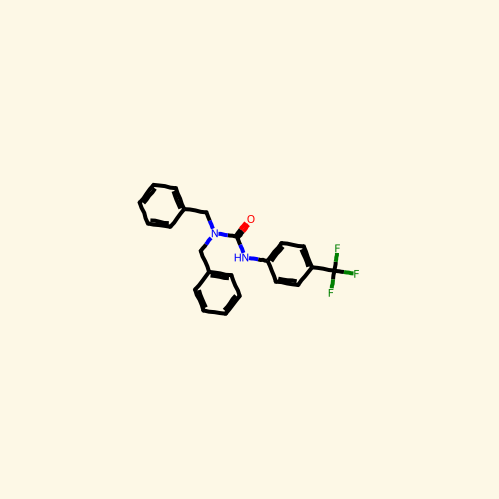 O=C(Nc1ccc(C(F)(F)F)cc1)N(Cc1ccccc1)Cc1ccccc1